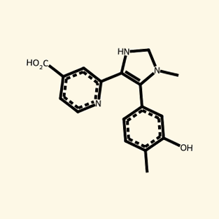 Cc1ccc(C2=C(c3cc(C(=O)O)ccn3)NCN2C)cc1O